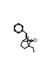 CCC12CCC(C(=Cc3ccccc3)C1=O)C2(C)C